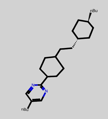 CCCCc1cnc(C2CCC(CC[C@H]3CC[C@H](CCCC)CC3)CC2)nc1